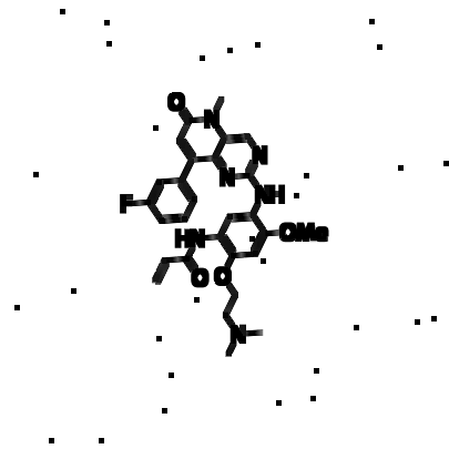 C=CC(=O)Nc1cc(Nc2ncc3c(n2)c(-c2cccc(F)c2)cc(=O)n3C)c(OC)cc1OCCN(C)C